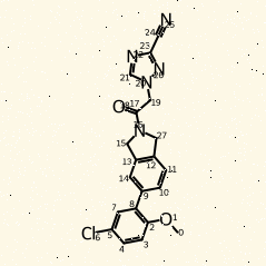 COc1ccc(Cl)cc1-c1ccc2c(c1)CN(C(=O)Cn1cnc(C#N)n1)C2